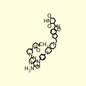 CN1CCN([C@@H]2CCCN(c3cnc(C(N)=O)c(Nc4ccc(N5CCC6(CCN(CC7Cc8ccc9c(C%10CCC(=O)NC%10=O)noc9c8C7)CC6)CC5)cc4)n3)C2)C1=O